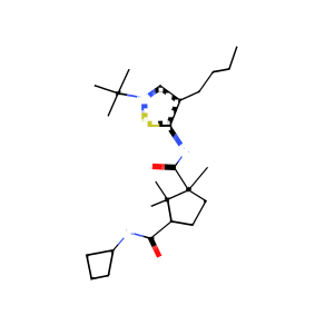 CCCCc1cn(C(C)(C)C)s/c1=N\C(=O)C1(C)CCC(C(=O)NC2CCC2)C1(C)C